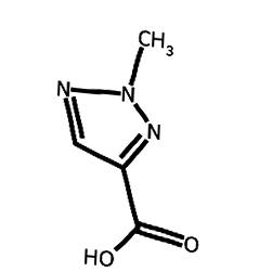 Cn1ncc(C(=O)O)n1